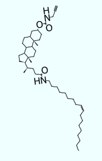 C#CCNC(=O)O[C@@H]1CC[C@@]2(C)C(CCC3C2CC[C@@]2(C)C3CC[C@@H]2[C@H](C)CCC(=O)NCCCCCCCC/C=C\CCCCCCCC)C1